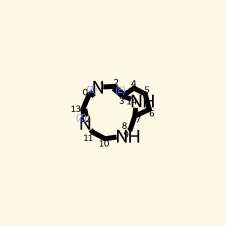 C1=N\C=C2/CCCC(CNCC\N=C/1)N2